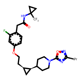 CC(C)c1noc(N2CCC([C@H]3C[C@H]3CCOc3ccc(CC(=O)NC4(C(F)(F)F)CC4)c(F)c3)CC2)n1